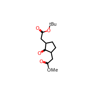 COC(=O)CC1CCC(CC(=O)OC(C)(C)C)C1=O